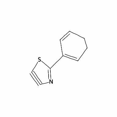 c1nc(C2=CCCC=C2)sc#1